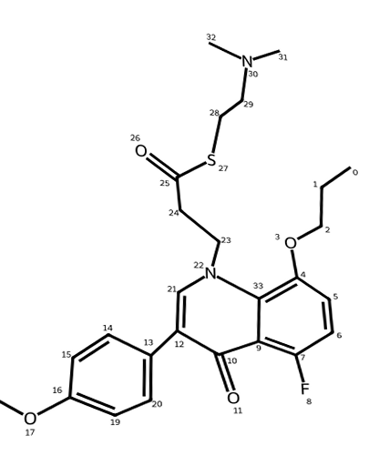 CCCOc1ccc(F)c2c(=O)c(-c3ccc(OC)cc3)cn(CCC(=O)SCCN(C)C)c12